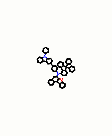 c1ccc(-n2c3ccccc3c3cc(-c4ccc(N(c5cccc6c5-c5ccccc5C6(c5ccccc5)c5ccccc5)c5cc6ccccc6c6c5oc5ccccc56)cc4)ccc32)cc1